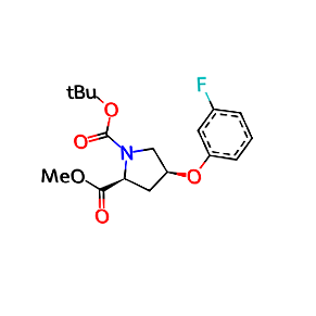 COC(=O)[C@@H]1C[C@H](Oc2cccc(F)c2)CN1C(=O)OC(C)(C)C